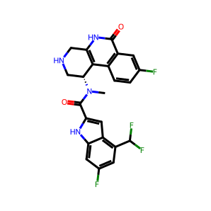 CN(C(=O)c1cc2c(C(F)F)cc(F)cc2[nH]1)[C@@H]1CNCc2[nH]c(=O)c3cc(F)ccc3c21